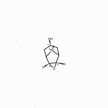 C[N+]1(C)C2C[C@@H](O)CC1[C@@H]1O[C@H]21